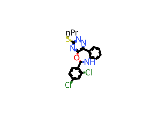 CCCSc1nnc2c(n1)OC(c1ccc(Cl)cc1Cl)Nc1ccccc1-2